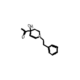 CC(=O)C1(O)CCN(CCc2ccccc2)CC1